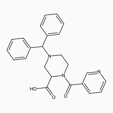 O=C(O)C1CN(C(c2ccccc2)c2ccccc2)CCN1C(=O)c1cccnc1